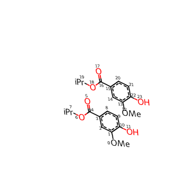 COc1cc(C(=O)OC(C)C)ccc1O.COc1cc(C(=O)OC(C)C)ccc1O